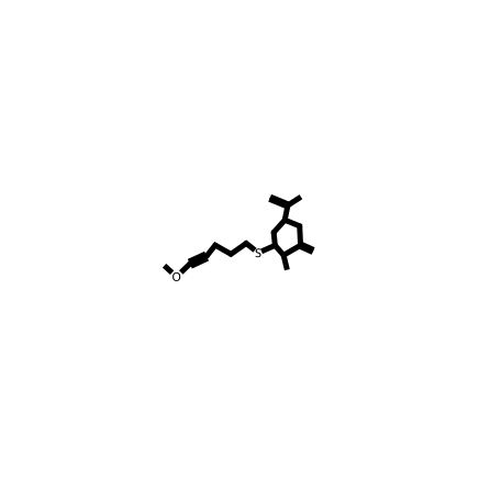 C=C(C)C1CC(=C)C(C)C(SCCCC#COC)C1